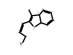 CC1=C(/C=C\CBr)SC2C=CC=CC12